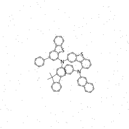 CC1(C)c2ccccc2-c2ccc(N(c3ccc4sc5cccc(N(c6ccccc6)c6ccc7ccccc7c6)c5c4c3)c3cc(-c4ccccc4)cc4c3sc3ccccc34)cc21